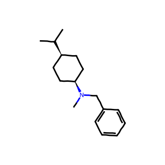 CC(C)[C@H]1CC[C@@H](N(C)Cc2ccccc2)CC1